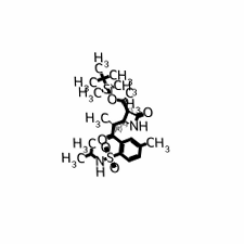 Cc1ccc(S(=O)(=O)NC(C)C)c(C(=O)[C@H](C)[C@H]2NC(=O)[C@@H]2[C@@H](C)O[Si](C)(C)C(C)(C)C)c1